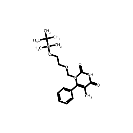 Cc1c(-c2cc[c]cc2)n(COCCO[Si](C)(C)C(C)(C)C)c(=O)[nH]c1=O